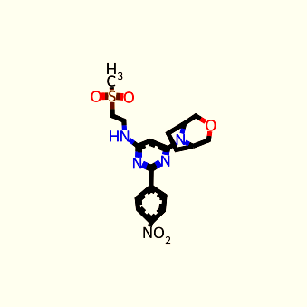 CS(=O)(=O)CCNc1cc(N2C3CCC2COC3)nc(-c2ccc([N+](=O)[O-])cc2)n1